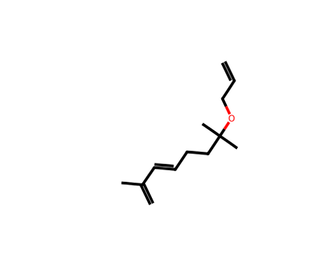 C=CCOC(C)(C)CC/C=C/C(=C)C